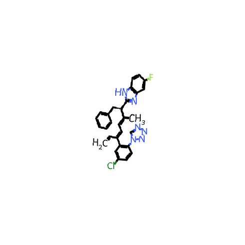 C=C/C(=C\C=C(/C)[C@@H](Cc1ccccc1)c1nc2cc(F)ccc2[nH]1)c1cc(Cl)ccc1-n1cnnn1